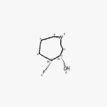 O[C@H]1C[N]CCC[C@H]1F